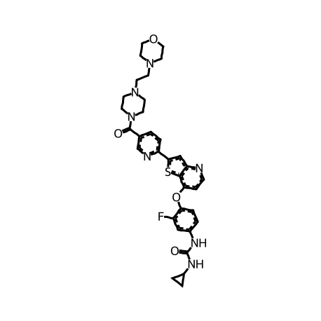 O=C(Nc1ccc(Oc2ccnc3cc(-c4ccc(C(=O)N5CCN(CCN6CCOCC6)CC5)cn4)sc23)c(F)c1)NC1CC1